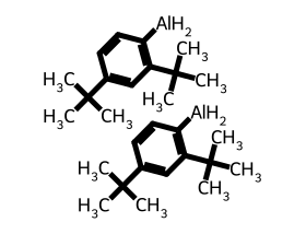 CC(C)(C)c1cc[c]([AlH2])c(C(C)(C)C)c1.CC(C)(C)c1cc[c]([AlH2])c(C(C)(C)C)c1